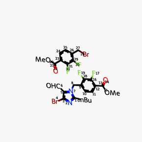 CCCCc1nc(Br)c(C=O)n1Cc1ccc(C(=O)OC)c(F)c1F.COC(=O)c1ccc(CBr)c(F)c1F